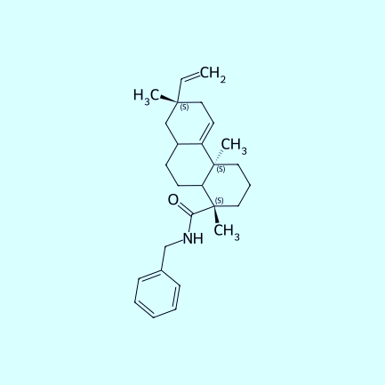 C=C[C@]1(C)CC=C2C(CCC3[C@@](C)(C(=O)NCc4ccccc4)CCC[C@]23C)C1